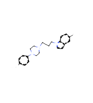 Cc1ccc(N2CCN(CCCn3ccc4cc(C=O)ccc43)CC2)cc1